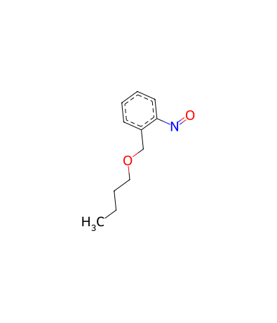 CCCCOCc1ccccc1N=O